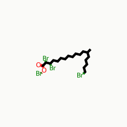 CC(CCCCCBr)CCCCCCCCCC(Br)C(Br)C(=O)OBr